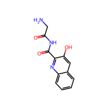 NCC(=O)NC(=O)c1nc2ccccc2cc1O